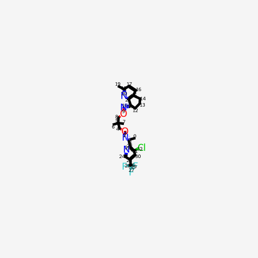 C/C(=N\OCC(C)(C)CO/N=C1\CCCc2ccc(C)nc21)c1ncc(C(F)(F)F)cc1Cl